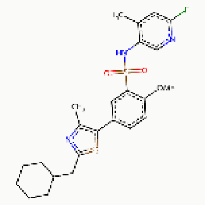 COc1ccc(-c2sc(CC3CCCCC3)nc2C)cc1S(=O)(=O)Nc1cnc(F)cc1C